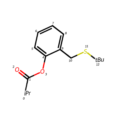 CC(C)C(=O)Oc1ccccc1CSC(C)(C)C